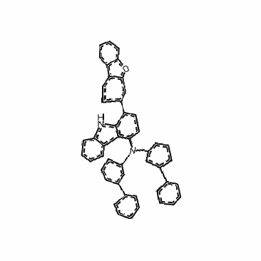 c1ccc(-c2cccc(N(c3cccc(-c4ccccc4)c3)c3ccc(-c4ccc5c(c4)oc4ccccc45)c4[nH]c5ccccc5c34)c2)cc1